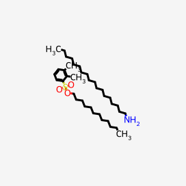 CCCCCCCCCCCCCCCCCCN.CCCCCCCCCCCCOS(=O)(=O)c1cccc(C)c1C